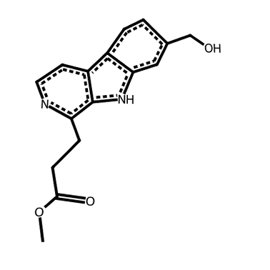 COC(=O)CCc1nccc2c1[nH]c1cc(CO)ccc12